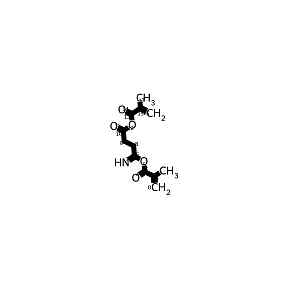 C=C(C)C(=O)OC(=N)CCC(=O)OC(=O)C(=C)C